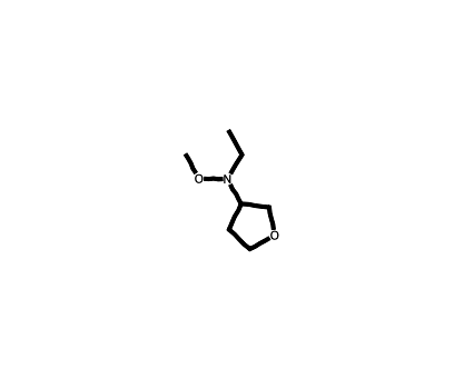 CCN(OC)C1CCOC1